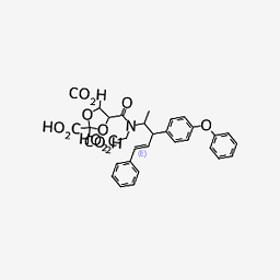 CC(C(/C=C/c1ccccc1)c1ccc(Oc2ccccc2)cc1)N(CC(=O)O)C(=O)C1OC(C(=O)O)(C(=O)O)OC1C(=O)O